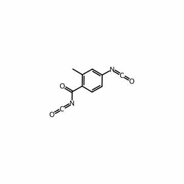 Cc1cc(N=C=O)ccc1C(=O)N=C=O